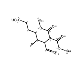 C=CC(C(F)CCCC(=O)O)N(C(=O)OC(C)(C)C)C(=O)OC(C)(C)C